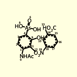 CC(=O)Nc1ccc([As](=O)(O)O)c(O)c1C.O=C(O)c1cccc([N+](=O)[O-])c1